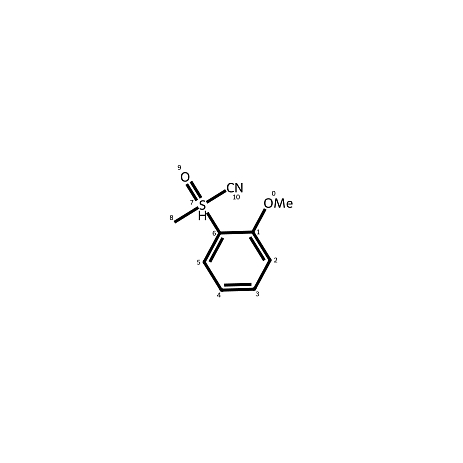 COc1ccccc1[SH](C)(=O)C#N